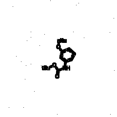 CCCCOc1cccc(NC(=O)OC(C)(C)C)c1